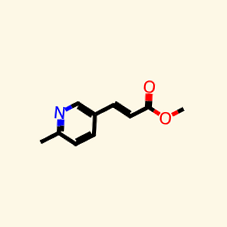 COC(=O)C=Cc1ccc(C)nc1